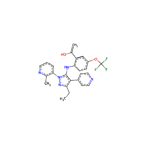 C=C(O)c1cc(OC(F)(F)F)ccc1Nc1c(-c2ccncc2)c(CC)nn1-c1cccnc1C